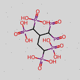 O=PC(P=O)C(CC(P(=O)(O)O)P(=O)(O)O)C(P(=O)(O)O)P(=O)(O)O